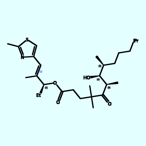 CC[C@H](OC(=O)CCC(C)(C)C(=O)[C@H](C)[C@@H](O)[C@@H](C)CCCC(C)C)/C(C)=C/c1csc(C)n1